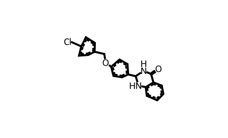 O=C1NC(c2ccc(OCc3ccc(Cl)cc3)cc2)Nc2ccccc21